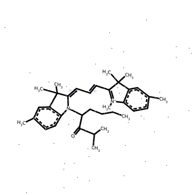 CCCCC(C(=O)C(C)C)N1/C(=C\C=C\C2=[N+](C)c3ccc(C)cc3C2(C)C)C(C)(C)c2cc(C)ccc21